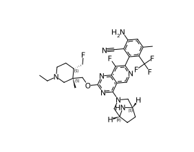 CCN1CC[C@H](CF)[C@](C)(COc2nc(N3C[C@H]4CC[C@@H](C3)N4)c3cnc(-c4c(C#N)c(N)cc(C)c4C(F)(F)F)c(F)c3n2)C1